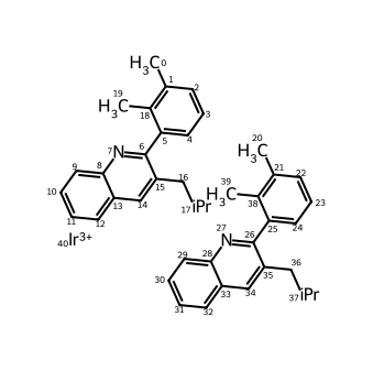 Cc1cccc(-c2nc3ccccc3cc2CC(C)C)c1C.Cc1cccc(-c2nc3ccccc3cc2CC(C)C)c1C.[Ir+3]